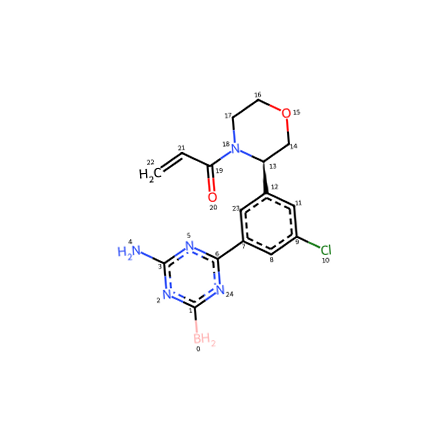 Bc1nc(N)nc(-c2cc(Cl)cc([C@@H]3COCCN3C(=O)C=C)c2)n1